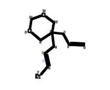 C=CCC1(C/C=C/CC)COCOC1